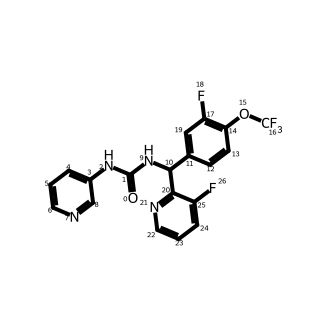 O=C(Nc1cccnc1)NC(c1ccc(OC(F)(F)F)c(F)c1)c1ncccc1F